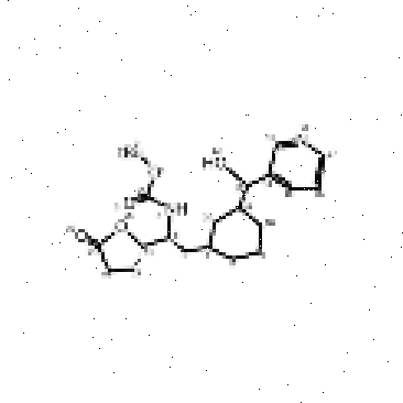 CC(C)(C)OC(=O)N[C@@H](CC1CCCC(C(O)c2cccnc2)C1)[C@@H]1CCC(=O)O1